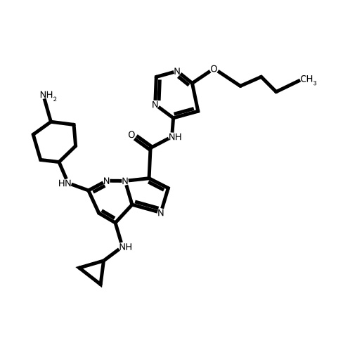 CCCCOc1cc(NC(=O)c2cnc3c(NC4CC4)cc(NC4CCC(N)CC4)nn23)ncn1